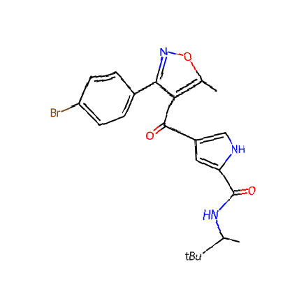 Cc1onc(-c2ccc(Br)cc2)c1C(=O)c1c[nH]c(C(=O)NC(C)C(C)(C)C)c1